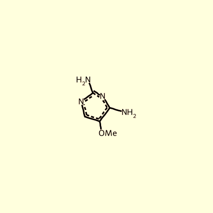 COc1cnc(N)nc1N